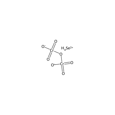 [O]=[Cr](=[O])([O-])[O][Cr](=[O])(=[O])[O-].[SeH4+2]